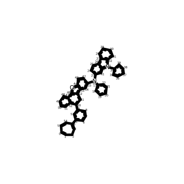 C1=CCC=C(c2cccc(-c3cc4c5cc(N(c6ccccc6)c6ccc7c8ccccc8n(-c8ccccc8)c7c6)ccc5oc4c4ccccc34)c2)C=C1